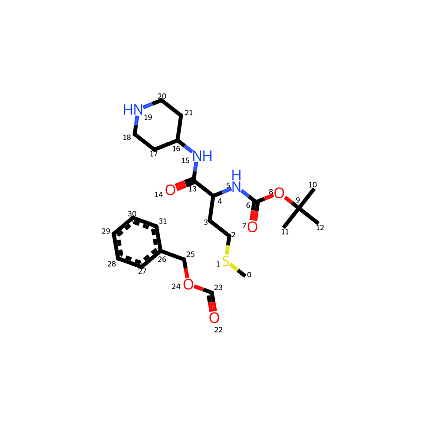 CSCCC(NC(=O)OC(C)(C)C)C(=O)NC1CCNCC1.O=COCc1ccccc1